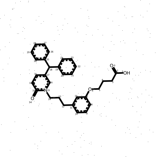 O=C(O)CCCOc1cccc(CCCn2cc(C(c3ccccc3)c3ccccc3)ccc2=O)c1